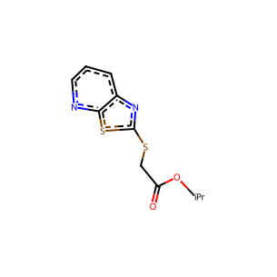 CC(C)OC(=O)CSc1nc2cccnc2s1